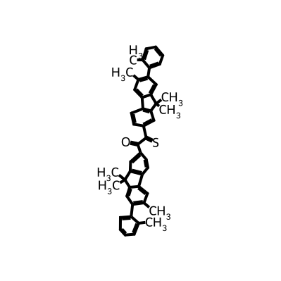 Cc1ccccc1-c1cc2c(cc1C)-c1ccc(C(=O)C(=S)c3ccc4c(c3)C(C)(C)c3cc(-c5ccccc5C)c(C)cc3-4)cc1C2(C)C